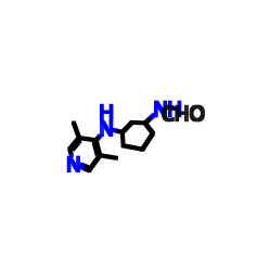 Cc1cncc(C)c1NC1CCCC(NC=O)C1